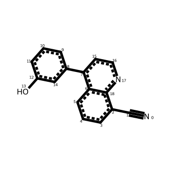 N#Cc1cccc2c(-c3cccc(O)c3)ccnc12